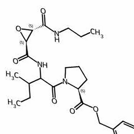 CCCNC(=O)[C@H]1O[C@@H]1C(=O)NC(C(=O)N1CCC[C@H]1C(=O)OCc1ccccc1)C(C)CC